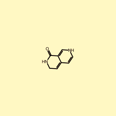 O=C1NCC=C2C=CNC=C12